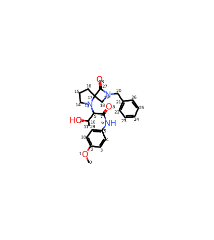 COc1ccc(NC(=O)C(C(C)O)N2CCCC23CN(Cc2ccccc2)C3=O)cc1